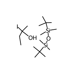 CC(C)(C)[Si](C)(C)O[Si](C)(C)C(C)(C)C.CCC(C)(O)I